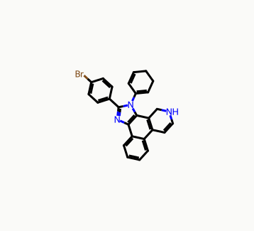 Brc1ccc(-c2nc3c4ccccc4c4c(c3n2C2=CCCC=C2)CNC=C4)cc1